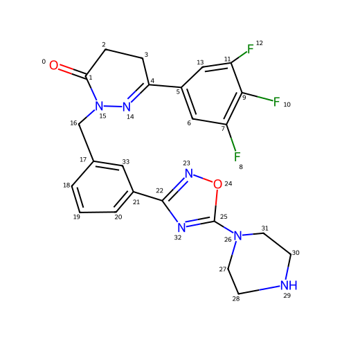 O=C1CCC(c2cc(F)c(F)c(F)c2)=NN1Cc1cccc(-c2noc(N3CCNCC3)n2)c1